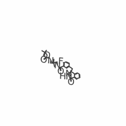 CC(C)(C)OC(=O)N1CC2(C1)CN(C(=O)c1cc(Cc3n[nH]c(=O)c4ccccc34)ccc1F)C2